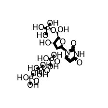 O=P(O)(O)O.O=P(O)(O)O.O=P(O)(O)O.O=P(O)(O)O.O=c1ccn(C2C[C@H](O)[C@@H](CO)O2)c(=O)[nH]1